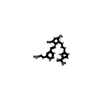 CCCc1cc(/C=C/[C@H]2C(O)C[C@@H](Cl)C2CCCc2ccc(C(=O)O)s2)ccn1